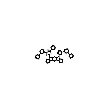 c1ccc(-c2cccc(-c3nc(-c4ccccc4)nc(-n4c5ccccc5c5cc6c7ccccc7n(-c7cccc(-c8cccc(-c9ccccc9)n8)c7)c6cc54)n3)c2)cc1